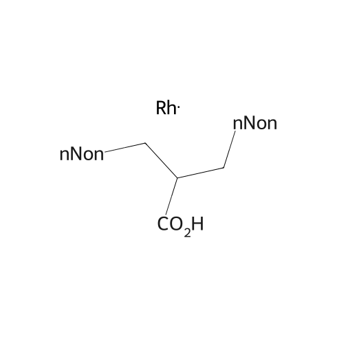 CCCCCCCCCCC(CCCCCCCCCC)C(=O)O.[Rh]